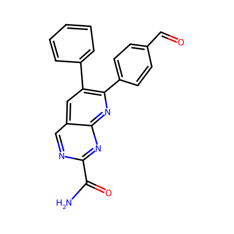 NC(=O)c1ncc2cc(-c3ccccc3)c(-c3ccc(C=O)cc3)nc2n1